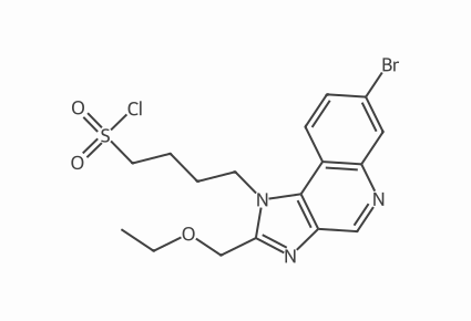 CCOCc1nc2cnc3cc(Br)ccc3c2n1CCCCS(=O)(=O)Cl